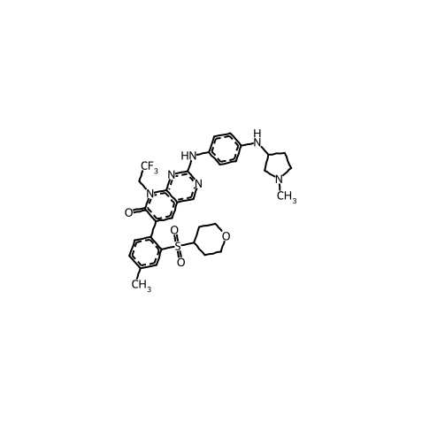 Cc1ccc(-c2cc3cnc(Nc4ccc(NC5CCN(C)C5)cc4)nc3n(CC(F)(F)F)c2=O)c(S(=O)(=O)C2CCOCC2)c1